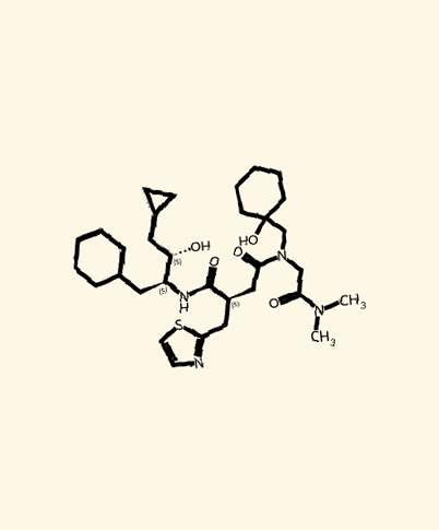 CN(C)C(=O)CN(CC1(O)CCCCC1)C(=O)C[C@@H](Cc1nccs1)C(=O)N[C@@H](CC1CCCCC1)[C@@H](O)CC1CC1